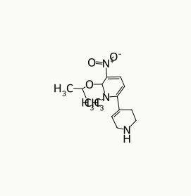 CC(C)OC1C([N+](=O)[O-])=CC=C(C2=CCNCC2)N1C